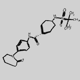 CC(C)(C)S(=O)(=O)N[C@H]1CC[C@H](C(=O)Nc2ccc(N3CCCCC3=O)cc2)CC1